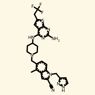 Cc1c(CN2CCC(Nc3nc(N)nc4sc(CC(F)(F)F)cc34)CC2)ccc2c1cc(C#N)n2Cc1cc[nH]n1